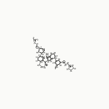 CN(C)CCOc1cncc(-c2ccc3c(n2)C(c2cc4c(-c5cc(F)cc(OCCN6CCCC6)c5)cccc4[nH]2)=NCCC3)c1